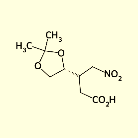 CC1(C)OC[C@@H](C(CC(=O)O)C[N+](=O)[O-])O1